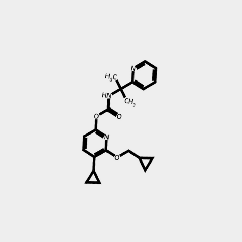 CC(C)(NC(=O)Oc1ccc(C2CC2)c(OCC2CC2)n1)c1ccccn1